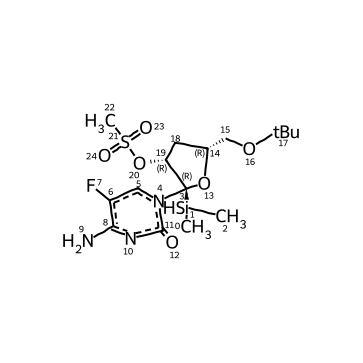 C[SiH](C)[C@]1(n2cc(F)c(N)nc2=O)O[C@@H](COC(C)(C)C)C[C@H]1OS(C)(=O)=O